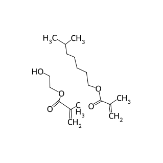 C=C(C)C(=O)OCCCCCC(C)C.C=C(C)C(=O)OCCO